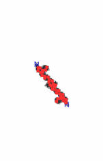 CC(C)(C)c1c2ccc(-c3ccc(-c4ccc5c6ccc(C#N)cc6n(-c6ccccc6)c5c4)cc3)cc2c(C(C)(C)C)c2ccc(-c3ccc(-c4ccc5c6ccc(C#N)cc6n(-c6ccccc6)c5c4)cc3)cc12